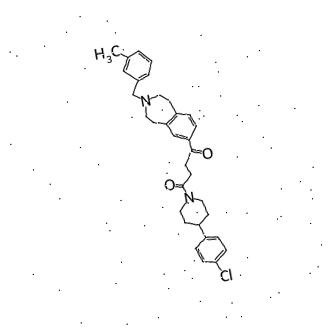 Cc1cccc(CN2CCc3ccc(C(=O)CCC(=O)N4CCC(c5ccc(Cl)cc5)CC4)cc3CC2)c1